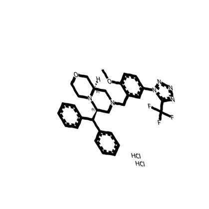 COc1ccc(-n2nnnc2C(F)(F)F)cc1CN1C[C@@H]2COCCN2[C@H](C(c2ccccc2)c2ccccc2)C1.Cl.Cl